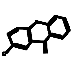 C=C1c2ccccc2Sc2ccc(Cl)cc21